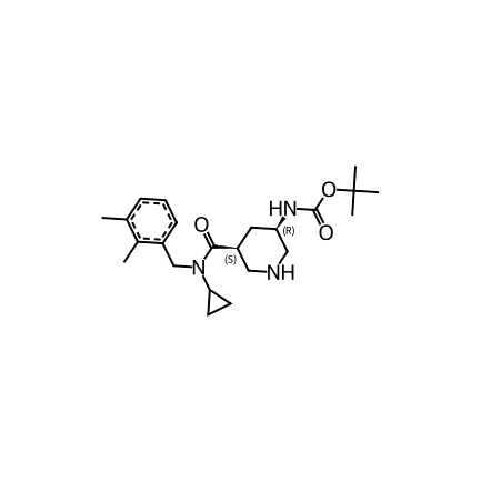 Cc1cccc(CN(C(=O)[C@@H]2CNC[C@H](NC(=O)OC(C)(C)C)C2)C2CC2)c1C